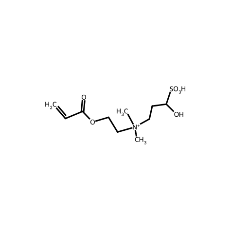 C=CC(=O)OCC[N+](C)(C)CCC(O)S(=O)(=O)O